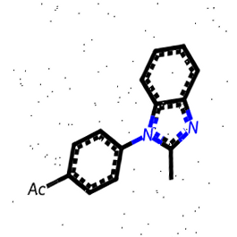 CC(=O)c1ccc(-n2c(C)nc3ccccc32)cc1